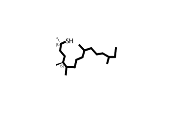 CCC(C)CCCC(C)CCCC(C)[C@@H](C)CC[C@H](C)S